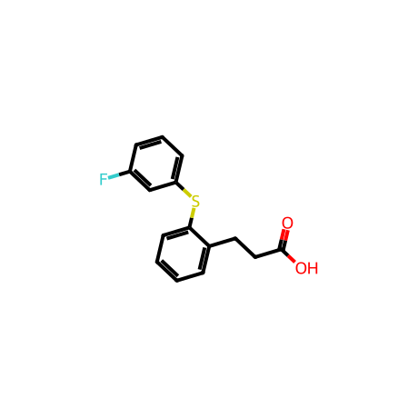 O=C(O)CCc1ccccc1Sc1cccc(F)c1